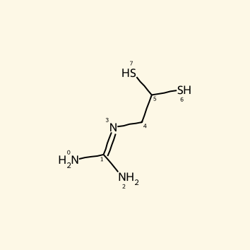 NC(N)=NCC(S)S